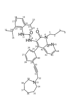 CCCCn1c(=O)c(NC(=O)Nc2c(C(C)C)cccc2C(C)C)c(-c2cccc(C#CCN3CCCCCC3)c2)c2cccnc21